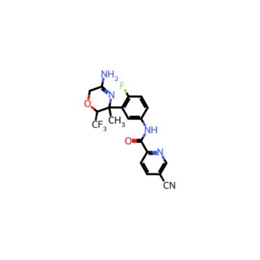 CC1(c2cc(NC(=O)c3ccc(C#N)cn3)ccc2F)N=C(N)COC1C(F)(F)F